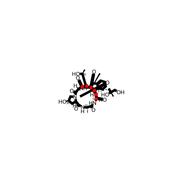 C[C@@H]1NC(=O)[C@@H]2C[C@@H](O)CN2C(=O)[C@H]2CSC3=C(C[C@H](NC1=O)C(=O)N[C@@H](C[C@@](C)(O)CO)C(=O)N[C@H](C)C(=O)N[C@H]([C@H](C)O)C(=O)N2)c1ccccc1C3